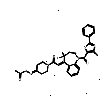 CC(=O)ON=C1CCN(C(=O)C=C2c3ccccc3N(C(=O)c3sc(-c4ccccc4)nc3C)CCC2(F)F)CC1